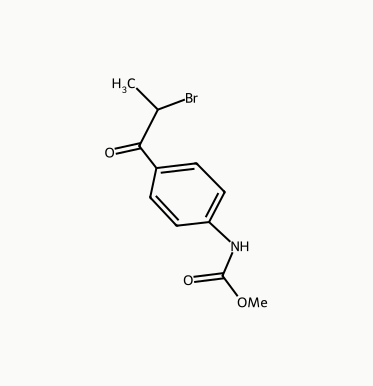 COC(=O)Nc1ccc(C(=O)C(C)Br)cc1